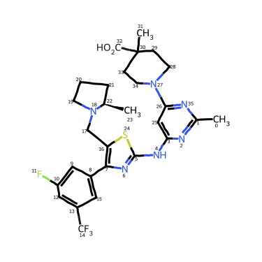 Cc1nc(Nc2nc(-c3cc(F)cc(C(F)(F)F)c3)c(CN3CCC[C@H]3C)s2)cc(N2CCC(C)(C(=O)O)CC2)n1